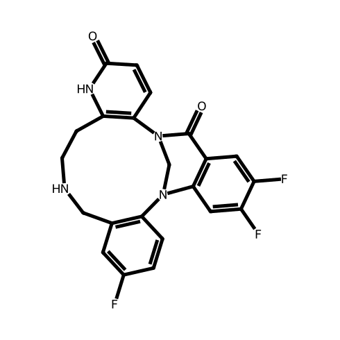 O=C1c2cc(F)c(F)cc2N2CN1c1ccc(=O)[nH]c1CCNCc1cc(F)ccc12